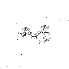 C#CC[C@H](CO[Si](C)(C)C(C)(C)C)O[Si](C)(C)C(C)(C)C